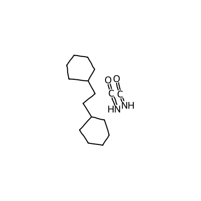 C1CCC(CCC2CCCCC2)CC1.N=C=O.N=C=O